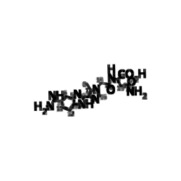 Cc1c(-c2nc3cc(C(=N)N)ccc3[nH]2)ncn1CC(=O)NC(CC(N)=O)C(=O)O